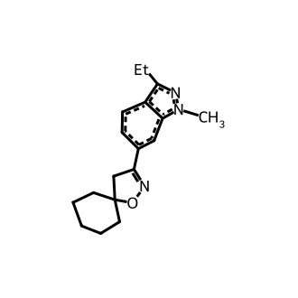 CCc1nn(C)c2cc(C3=NOC4(CCCCC4)C3)ccc12